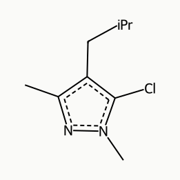 Cc1nn(C)c(Cl)c1CC(C)C